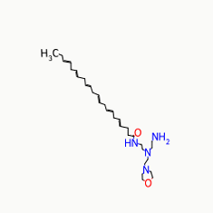 CCC=CCC=CCC=CCC=CCC=CCC=CCCC(=O)NCCN(CCN)CCN1CCOCC1